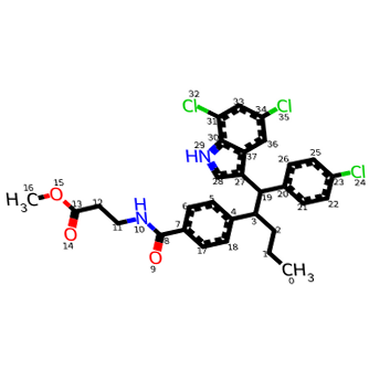 CCCC(c1ccc(C(=O)NCCC(=O)OC)cc1)C(c1ccc(Cl)cc1)c1c[nH]c2c(Cl)cc(Cl)cc12